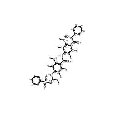 CCC(NS(=O)(=O)c1ccccc1)Oc1c(C)c(C)c(C(=O)Oc2c(C)c(C)c(C(=O)C(O)c3ccccc3)c(OC)c2C)c(OC)c1C